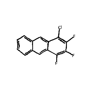 Fc1c(F)c(Cl)c2cc3ccccc3cc2c1F